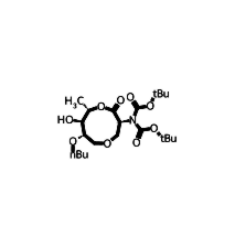 CCCCO[C@H]1COC[C@H](N(C(=O)OC(C)(C)C)C(=O)OC(C)(C)C)C(=O)O[C@@H](C)[C@@H]1O